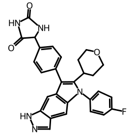 O=C1NC(=O)C(c2ccc(-c3c(C4CCOCC4)n(-c4ccc(F)cc4)c4cc5cn[nH]c5cc34)cc2)N1